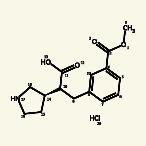 COC(=O)c1cccc(CC(C(=O)O)[C@H]2CCNC2)c1.Cl